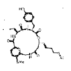 C/C=C1\NC(=O)c2ccc(SC)c(n2)CNC(=O)C[C@@H](/C=C/CCSC(C)=O)OC(=O)[C@H](Cc2ccc(O)cc2)NC1=O